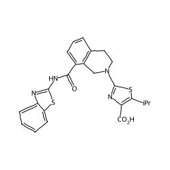 CC(C)c1sc(N2CCc3cccc(C(=O)Nc4nc5ccccc5s4)c3C2)nc1C(=O)O